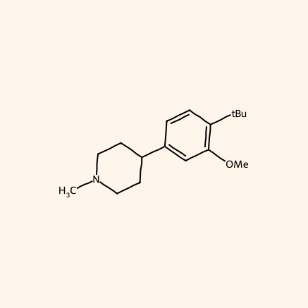 COc1cc(C2CCN(C)CC2)ccc1C(C)(C)C